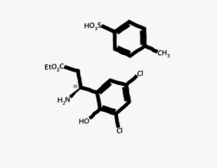 CCOC(=O)C[C@H](N)c1cc(Cl)cc(Cl)c1O.Cc1ccc(S(=O)(=O)O)cc1